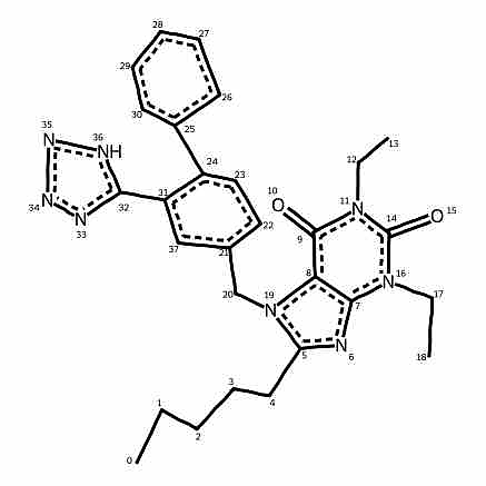 CCCCCc1nc2c(c(=O)n(CC)c(=O)n2CC)n1Cc1ccc(-c2ccccc2)c(-c2nnn[nH]2)c1